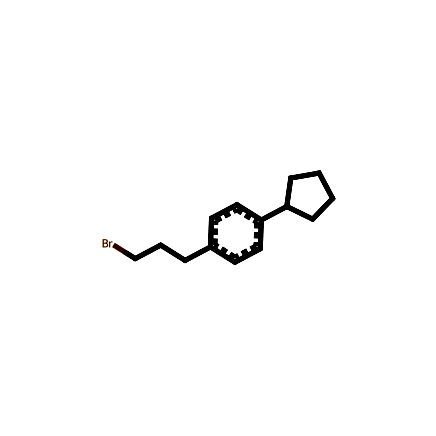 BrCCCc1ccc(C2CCCC2)cc1